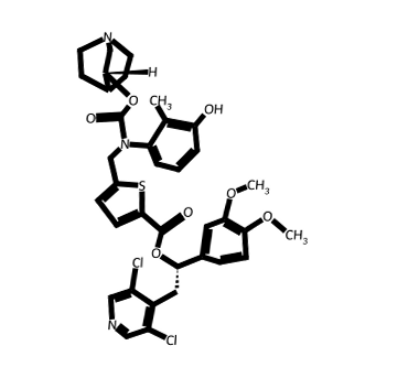 COc1ccc([C@H](Cc2c(Cl)cncc2Cl)OC(=O)c2ccc(CN(C(=O)O[C@H]3CN4CCC3CC4)c3cccc(O)c3C)s2)cc1OC